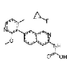 COc1nccc(C)c1-c1ccc2cc(NC(=O)O)ncc2c1.FC1CC1